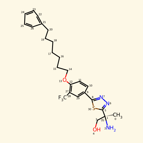 C[C@](N)(CO)c1nnc(-c2ccc(OCCCCCCCc3ccccc3)c(C(F)(F)F)c2)s1